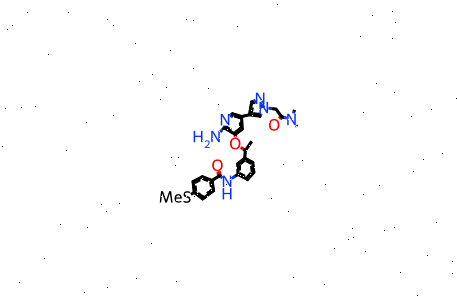 CSc1ccc(C(=O)Nc2cccc(C(C)Oc3cc(-c4cnn(CC(=O)N(C)C)c4)cnc3N)c2)cc1